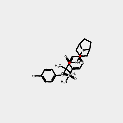 CC(C)(Oc1ccc(Cl)cc1)C(=O)NC1CC2CCC(C1)N2c1ccc(S(N)(=O)=O)cn1